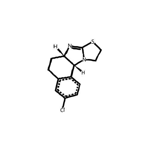 Clc1ccc2c(c1)CC[C@@H]1N=C3SCCN3[C@H]21